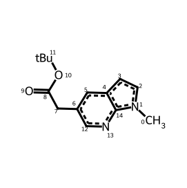 Cn1ccc2cc(CC(=O)OC(C)(C)C)cnc21